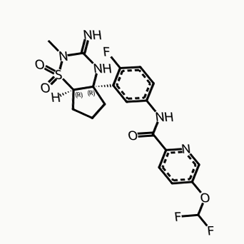 CN1C(=N)N[C@@]2(c3cc(NC(=O)c4ccc(OC(F)F)cn4)ccc3F)CCC[C@H]2S1(=O)=O